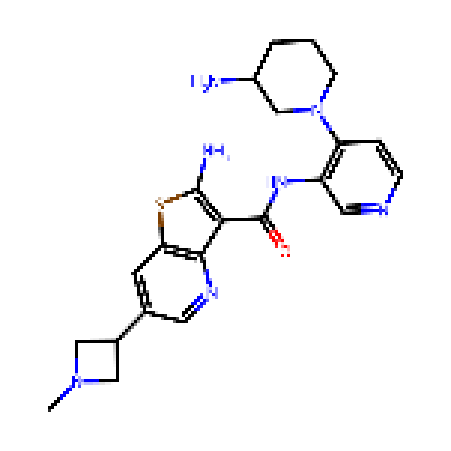 CN1CC(c2cnc3c(C(=O)Nc4cnccc4N4CCCC(N)C4)c(N)sc3c2)C1